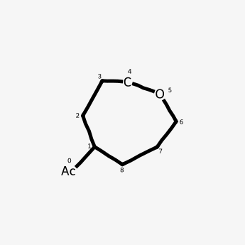 CC(=O)C1CCCOCCC1